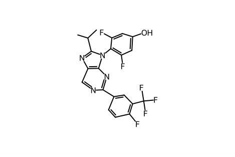 CC(C)c1nc2cnc(-c3ccc(F)c(C(F)(F)F)c3)nc2n1-c1c(F)cc(O)cc1F